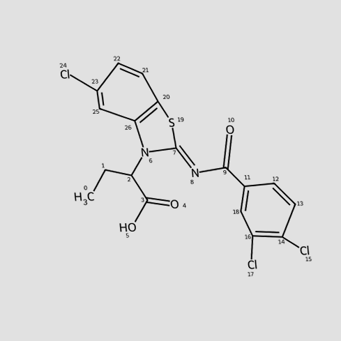 CCC(C(=O)O)n1c(=NC(=O)c2ccc(Cl)c(Cl)c2)sc2ccc(Cl)cc21